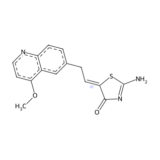 COc1ccnc2ccc(C/C=C3\SC(N)=NC3=O)cc12